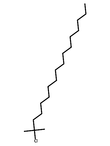 CCCCCCCCCCCCCCCC(C)(C)Cl